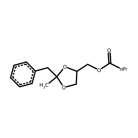 CCCC(=O)OCC1COC(C)(Cc2ccccc2)O1